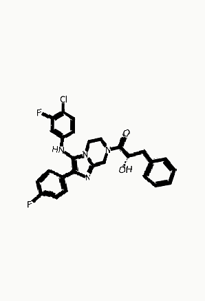 O=C([C@@H](O)Cc1ccccc1)N1CCn2c(nc(-c3ccc(F)cc3)c2Nc2ccc(Cl)c(F)c2)C1